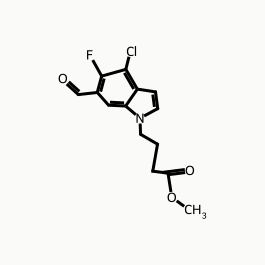 COC(=O)CCCn1ccc2c(Cl)c(F)c(C=O)cc21